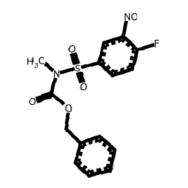 CN(C(=O)OCc1ccccc1)S(=O)(=O)c1ccc(F)c(N=O)c1